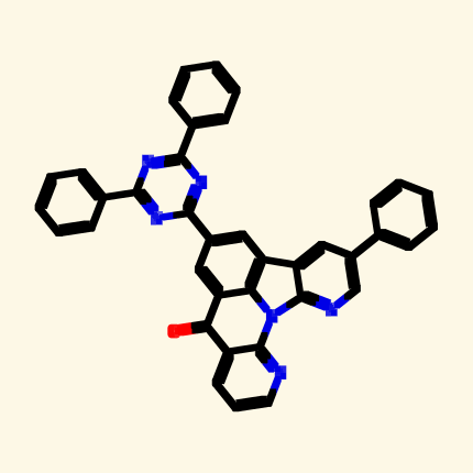 O=c1c2cccnc2n2c3ncc(-c4ccccc4)cc3c3cc(-c4nc(-c5ccccc5)nc(-c5ccccc5)n4)cc1c32